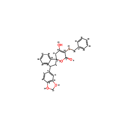 O=C1OC(CCc2ccc3c(c2)OCO3)(c2ccccc2)CC(O)=C1SCc1ccccc1